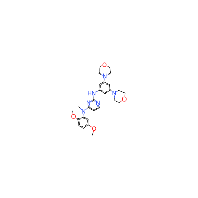 COc1ccc(OC)c(N(C)c2ccnc(Nc3cc(N4CCOCC4)cc(N4CCOCC4)c3)n2)c1